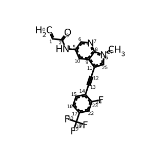 C=CC(=O)Nc1cnc2c(c1)c(C#Cc1ccc(C(F)(F)F)cc1F)cn2C